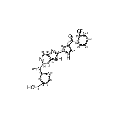 CN(c1cc(CO)ccn1)c1cc2[nH]c(-c3cc(C(=O)c4ccccc4C(F)(F)F)c[nH]3)nc2cn1